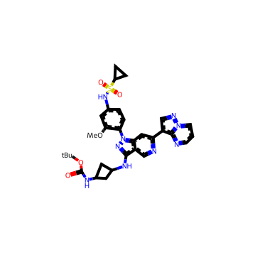 COc1cc(NS(=O)(=O)C2CC2)ccc1-n1nc(NC2CC(NC(=O)OC(C)(C)C)C2)c2cnc(-c3cnn4cccnc34)cc21